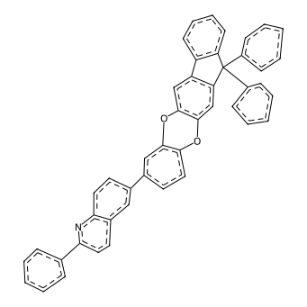 c1ccc(-c2ccc3cc(-c4ccc5c(c4)Oc4cc6c(cc4O5)C(c4ccccc4)(c4ccccc4)c4ccccc4-6)ccc3n2)cc1